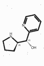 O[C@@H](c1ccccn1)[C@H]1CCCN1